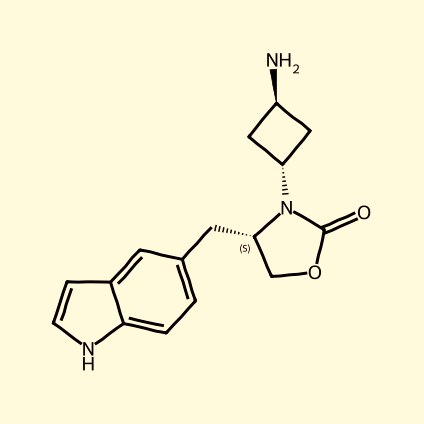 N[C@H]1C[C@H](N2C(=O)OC[C@@H]2Cc2ccc3[nH]ccc3c2)C1